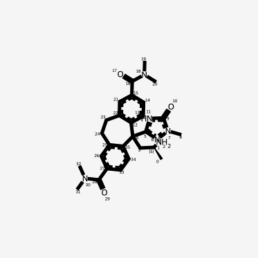 C[C@H](N)CC1(c2nn(C)c(=O)[nH]2)c2ccc(C(=O)N(C)C)cc2CCc2cc(C(=O)N(C)C)ccc21